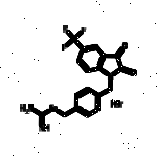 Br.N=C(N)[Se]Cc1ccc(CN2C(=O)C(=O)c3cc(C(F)(F)F)ccc32)cc1